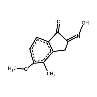 COc1ccc2c(c1C)C/C(=N/O)C2=O